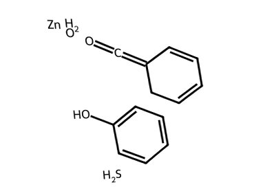 O.O=C=C1C=CC=CC1.Oc1ccccc1.S.[Zn]